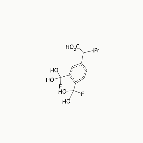 CC(C)C(C(=O)O)c1ccc(C(O)(O)F)c(C(O)(O)F)c1